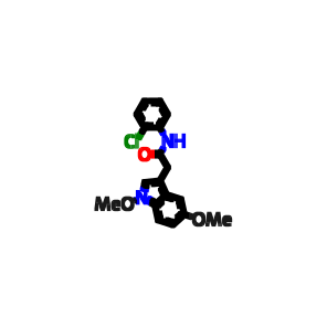 COc1ccc2c(c1)c(CC(=O)Nc1ccccc1Cl)cn2OC